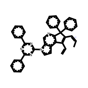 C=CC1=C(/C=C\C)C(c2ccccc2)(c2ccccc2)c2ncc3c(ccn3-c3nc(-c4ccccc4)nc(-c4ccccc4)n3)c21